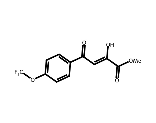 COC(=O)C(O)=CC(=O)c1ccc(OC(F)(F)F)cc1